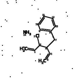 C=CC(Cl)C(C=C)Cc1ccccc1.N